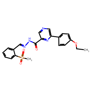 CCOc1ccc(-c2cncc(C(=O)NN=Cc3ccccc3S(C)(=O)=O)n2)cc1